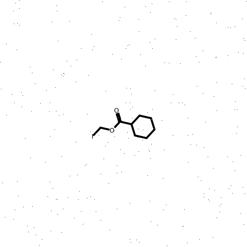 O=C(OCI)C1CCCCC1